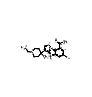 CCN1CCC(C)(c2cnn3c2[nH]c2cc(F)cc(C(N)=O)c23)CC1